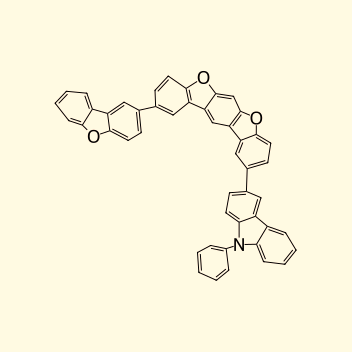 c1ccc(-n2c3ccccc3c3cc(-c4ccc5oc6cc7oc8ccc(-c9ccc%10oc%11ccccc%11c%10c9)cc8c7cc6c5c4)ccc32)cc1